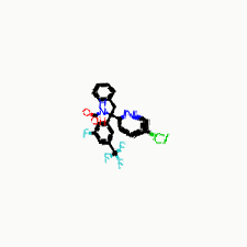 O=C(O)NC(Cc1ccccc1)(c1cc(F)cc(C(F)(F)F)c1)c1ccc(Cl)cn1